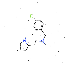 CN(CCC1CCCN1C)Cc1ccc(F)cc1